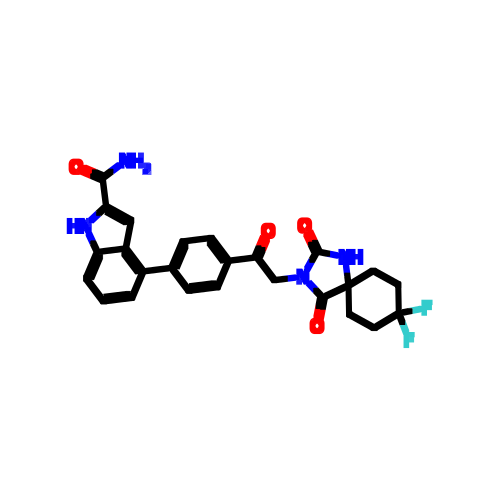 NC(=O)c1cc2c(-c3ccc(C(=O)CN4C(=O)NC5(CCC(F)(F)CC5)C4=O)cc3)cccc2[nH]1